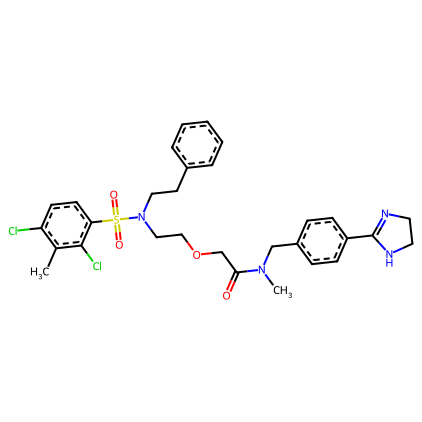 Cc1c(Cl)ccc(S(=O)(=O)N(CCOCC(=O)N(C)Cc2ccc(C3=NCCN3)cc2)CCc2ccccc2)c1Cl